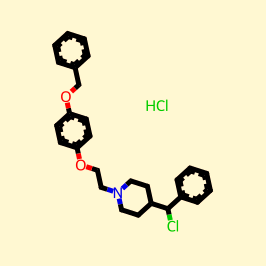 Cl.ClC(c1ccccc1)C1CCN(CCOc2ccc(OCc3ccccc3)cc2)CC1